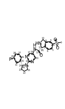 CS(=O)(=O)c1ccc2c(c1)CN[C@H]2C(=O)Nc1cnc(N2CCC[C@@H]2c2cccc(F)c2)nc1